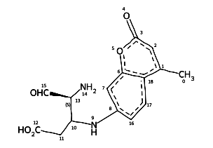 Cc1cc(=O)oc2cc(NC(CC(=O)O)[C@H](N)C=O)ccc12